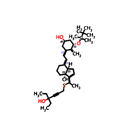 C=C1/C(=C\C=C2/CCC[C@]3(C)C(C(C)SCC#CC(O)(CC)CC)=CC[C@@H]23)C[C@@H](O)C[C@@H]1O[Si](C)(C)C(C)(C)C